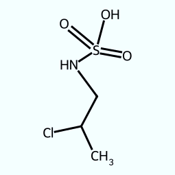 CC(Cl)CNS(=O)(=O)O